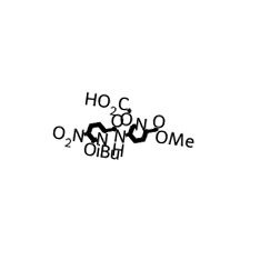 COC(=O)c1ccc(NC(=O)c2ccc([N+](=O)[O-])c(OCC(C)C)n2)c(OCC(=O)O)n1